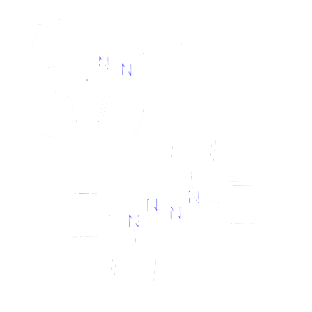 c1ccc(N=NC(c2ccccc2)(c2ccccc2)c2ccccc2)cc1.c1ccc2c(c1)c1ccccc1n2N=Nn1c2ccccc2c2ccccc21